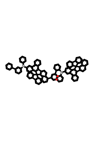 c1ccc(-c2cccc(N(c3ccccc3)c3ccc4c5c(c6ccccc6c4c3)-c3ccc4c(-c6cccc(-c7ccccc7N(c7ccccc7)c7ccc8c9c(c%10ccccc%10c8c7)-c7ccc8ccccc8c7C97c8ccccc8-c8ccccc87)c6)cccc4c3C53c4ccccc4-c4ccccc43)c2)cc1